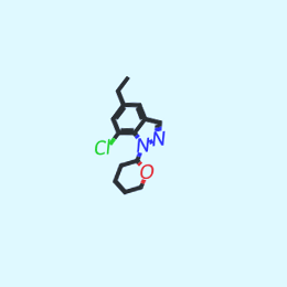 CCc1cc(Cl)c2c(cnn2C2CCCCO2)c1